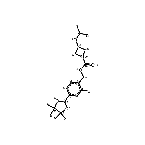 Cc1cc(B2OC(C)(C)C(C)(C)O2)ccc1COC(=O)N1CC(OC(C)C)C1